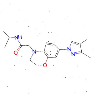 Cc1cn(-c2ccc3c(c2)OCCN3CC(=O)NC(C)C)nc1C